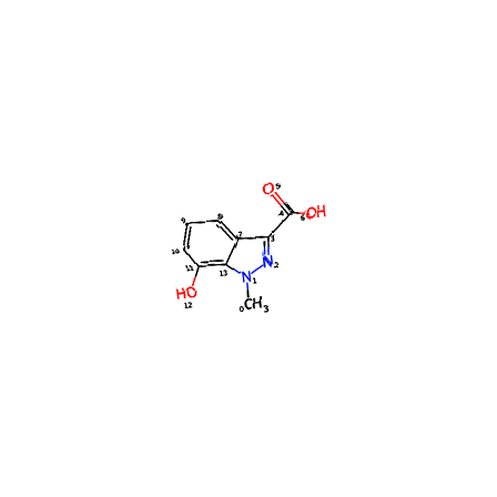 Cn1nc(C(=O)O)c2cccc(O)c21